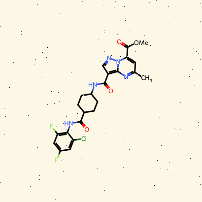 COC(=O)c1cc(C)nc2c(C(=O)NC3CCC(C(=O)Nc4c(F)cc(F)cc4Cl)CC3)cnn12